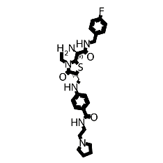 CCN1C(=O)[C@@H](CNc2ccc(C(=O)NCCN3CCCC3)cc2)SC1[C@H](N)C(=O)NCc1ccc(F)cc1